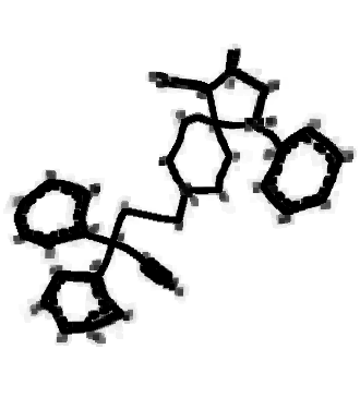 N#CC(CCN1CCC2(CC1)C(=O)NCN2c1ccccc1)(c1ccccc1)c1ccccc1